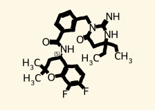 CCC1(CC)CC(=O)N(Cc2cccc(C(=O)N[C@H]3CC(C)(C)Oc4c3ccc(F)c4F)c2)C(=N)N1